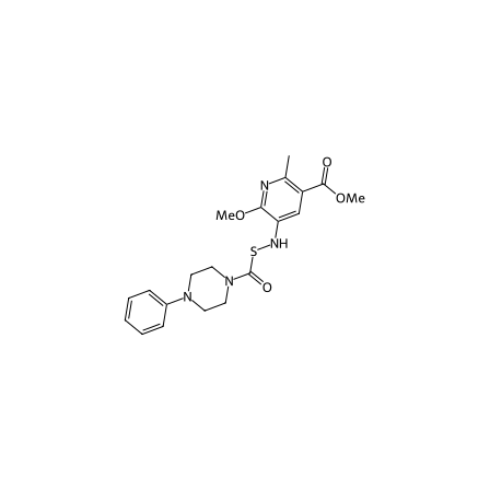 COC(=O)c1cc(NSC(=O)N2CCN(c3ccccc3)CC2)c(OC)nc1C